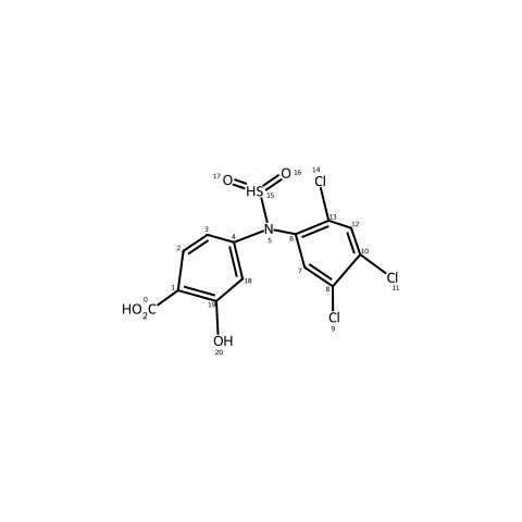 O=C(O)c1ccc(N(c2cc(Cl)c(Cl)cc2Cl)[SH](=O)=O)cc1O